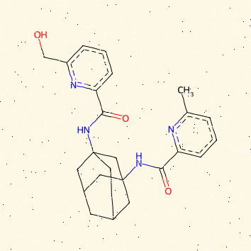 Cc1cccc(C(=O)NC23CC4CC(C2)CC(NC(=O)c2cccc(CO)n2)(C4)C3)n1